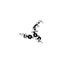 CCOC(=O)Cc1cnc(NC(=O)c2cc(Oc3ccc(-c4nnc(C)o4)cc3)cc(OC3CCN(C)C3=O)c2)s1